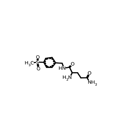 CS(=O)(=O)c1ccc(CNC(=O)C(N)CCC(N)=O)cc1